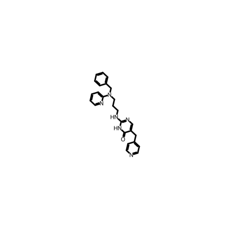 O=c1[nH]c(NCCCN(Cc2ccccc2)c2ccccn2)ncc1Cc1ccncc1